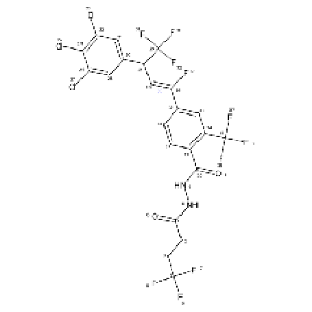 O=C(CCC(F)(F)F)NNC(=O)c1ccc(/C(F)=C/C(c2cc(Cl)c(Cl)c(Cl)c2)C(F)(F)F)cc1C(F)(F)F